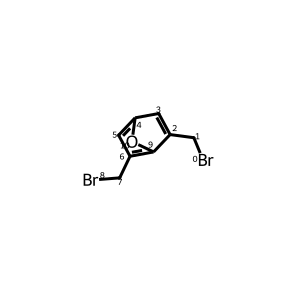 BrCc1cc2cc(CBr)c1o2